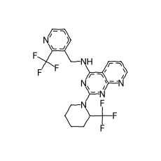 FC(F)(F)c1ncccc1CNc1nc(N2CCCCC2C(F)(F)F)nc2ncccc12